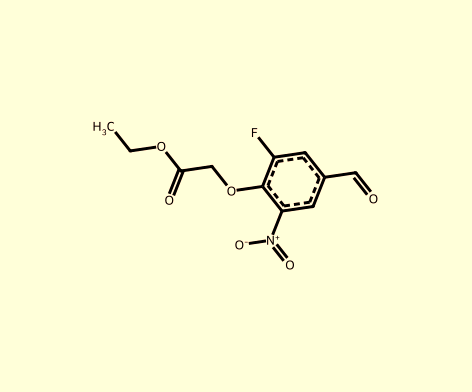 CCOC(=O)COc1c(F)cc(C=O)cc1[N+](=O)[O-]